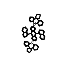 C1=CC2=C(CC1)C1(CCCC1)c1ccccc1N2c1ccc2c(-c3cccc4ccccc34)c3cc(N4c5ccccc5C5(CCCC5)c5ccccc54)ccc3c(-c3cccc4ccccc34)c2c1